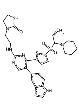 C=CC(N1CCCCC1)S(=O)(=O)c1ccc(-c2nc(NCCN3CCNC3=O)ncc2-c2ccc3[nH]ccc3c2)s1